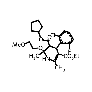 CCOC(=O)C1=C(C)NC(C)(OCCOC)C(C(=O)OC2CCCC2)C1c1c(F)cccc1Cl